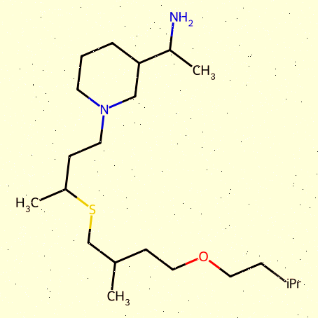 CC(C)CCOCCC(C)CSC(C)CCN1CCCC(C(C)N)C1